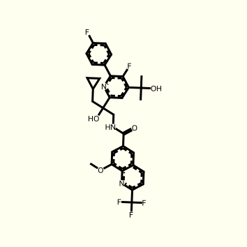 COc1cc(C(=O)NCC(O)(CC2CC2)c2cc(C(C)(C)O)c(F)c(-c3ccc(F)cc3)n2)cc2ccc(C(F)(F)F)nc12